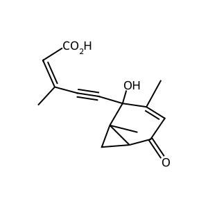 CC1=CC(=O)C2CC2(C)C1(O)C#C/C(C)=C\C(=O)O